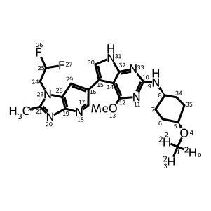 [2H]C([2H])([2H])O[C@H]1CC[C@@H](Nc2nc(OC)c3c(-c4cnc5nc(C)n(CC(F)F)c5c4)c[nH]c3n2)CC1